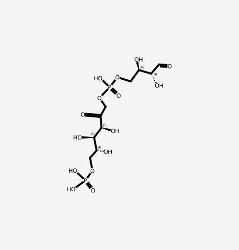 O=C[C@H](O)[C@H](O)COP(=O)(O)OCC(=O)[C@@H](O)[C@H](O)[C@H](O)COP(=O)(O)O